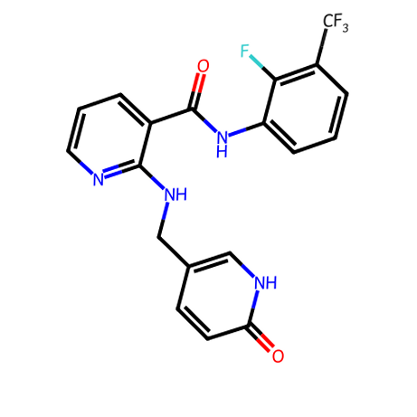 O=C(Nc1cccc(C(F)(F)F)c1F)c1cccnc1NCc1ccc(=O)[nH]c1